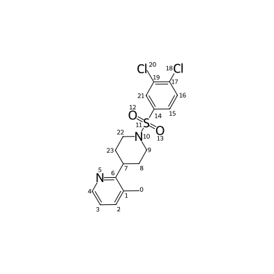 Cc1cccnc1C1CCN(S(=O)(=O)c2ccc(Cl)c(Cl)c2)CC1